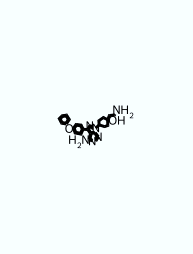 NCCC1(O)CCC(n2nc(-c3ccc(Oc4ccccc4)cc3)c3c(N)ncnc32)CC1